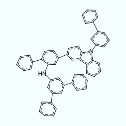 c1ccc(-c2cc(Nc3cc(-c4ccc5c(c4)c4ccccc4n5-c4cccc(-c5ccccc5)c4)ccc3-c3ccccc3)cc(-c3ccccc3)c2)cc1